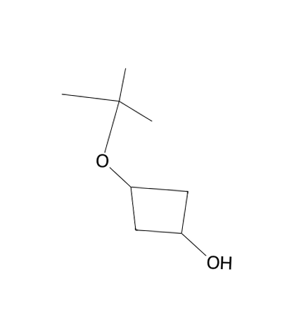 CC(C)(C)OC1CC(O)C1